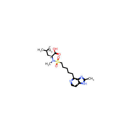 Cc1nc2c(CCCCCS(=O)(=O)N(C)[C@@H](CC(C)C)C(=O)O)nccc2[nH]1